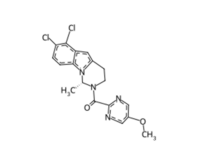 COc1cnc(C(=O)N2CCc3cc4c(Cl)c(Cl)ccc4n3[C@H]2C)nc1